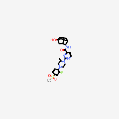 CCS(=O)(=O)c1ccc(N2CCN(c3nccc(C(=O)NC4C5CC6CC4CC(O)(C6)C5)n3)C(C)C2)c(F)c1